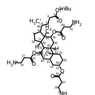 CCCCOC(=O)CC[C@@H](C)C1CC[C@H]2C3[C@H](OC(=O)CCN)CC4C[C@H](OC(=O)CCN)CCC4(C)[C@H]3CC(OC(=O)CCN)C12C